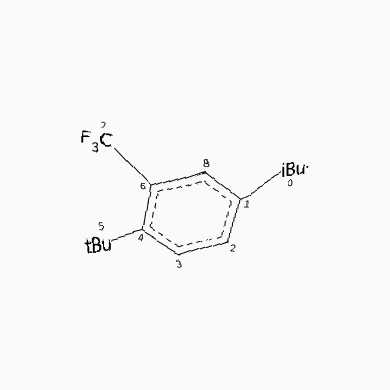 CC[C](C)c1ccc(C(C)(C)C)c(C(F)(F)F)c1